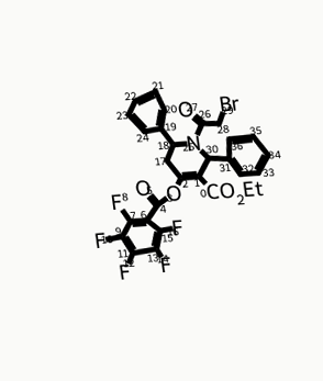 CCOC(=O)C1=C(OC(=O)c2c(F)c(F)c(F)c(F)c2F)CC(c2ccccc2)N(C(=O)CBr)C1c1ccccc1